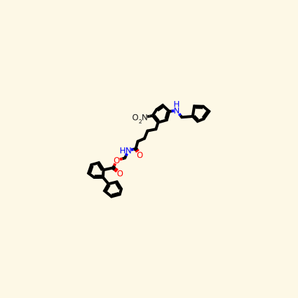 O=C(CCCCc1cc(NCc2ccccc2)ccc1[N+](=O)[O-])NCOC(=O)c1ccccc1-c1ccccc1